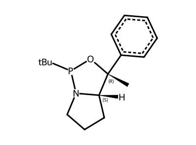 CC(C)(C)P1O[C@](C)(c2ccccc2)[C@@H]2CCCN21